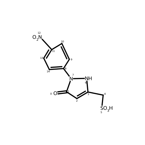 O=c1cc(CS(=O)(=O)O)[nH]n1-c1ccc([N+](=O)[O-])cc1